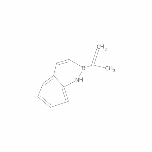 C=C(C)B1C=Cc2ccccc2N1